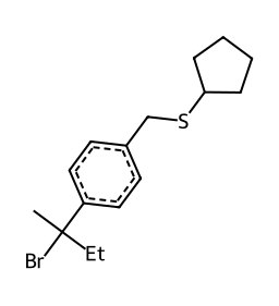 CCC(C)(Br)c1ccc(CSC2CCCC2)cc1